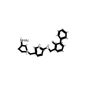 CC(=O)NC1CCN(Cc2ccc(OCc3cccc(-c4ccccc4)c3C)nc2)C1